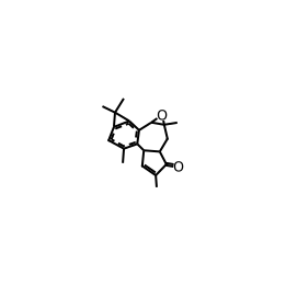 CC1=CC2c3c(C)cc4c(c3C3OC3(C)CC2C1=O)C4(C)C